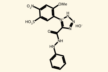 COc1cc([N+](=O)[O-])c(S(=O)(=O)O)cc1-[n+]1[nH]nnc1C(=O)NNc1ccccc1.[OH-]